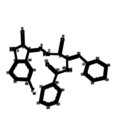 O=C(N/N=C1/C(=O)Nc2ccc(F)cc21)/C(=C/c1ccccc1)NC(=O)c1ccccc1